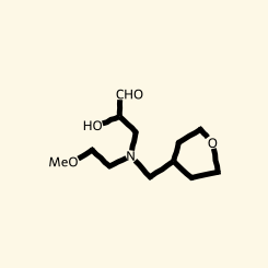 COCCN(CC(O)C=O)CC1CCOCC1